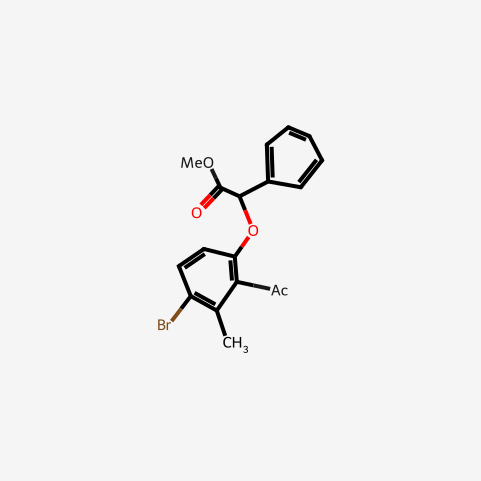 COC(=O)C(Oc1ccc(Br)c(C)c1C(C)=O)c1ccccc1